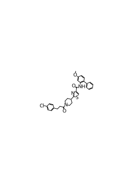 COc1ccc(-c2ccccc2)c(NC(=O)c2csc(C3CCN(C(=O)CCc4ccc(Cl)cc4)CC3)n2)c1